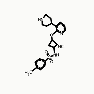 Cc1ccc(S(=O)(=O)NC2CC(Oc3ncccc3C3CCNCC3)C2)cc1.Cl